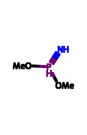 CO[PH](=N)OC